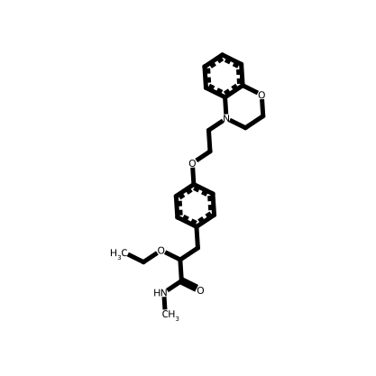 CCOC(Cc1ccc(OCCN2CCOc3ccccc32)cc1)C(=O)NC